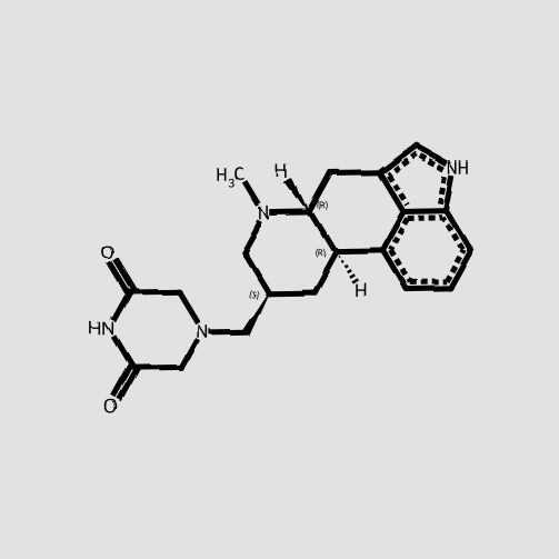 CN1C[C@H](CN2CC(=O)NC(=O)C2)C[C@@H]2c3cccc4[nH]cc(c34)C[C@H]21